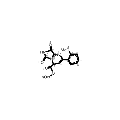 CCCCCCCCOC(=O)C(C=C(OC)c1ccccc1OC)N1CC(=O)NC1=O